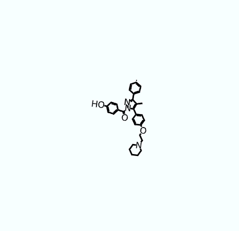 Cc1c(-c2cc[c]cc2)nn(C(=O)c2ccc(O)cc2)c1-c1ccc(OCCN2CCCCC2)cc1